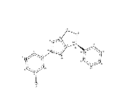 Brc1cncc(-n2cc3c(n2)[C@H](c2ccccc2)CC3)c1